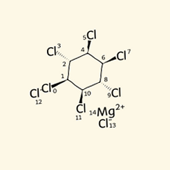 Cl[C@H]1[C@H](Cl)[C@@H](Cl)[C@@H](Cl)[C@H](Cl)[C@H]1Cl.[Cl-].[Cl-].[Mg+2]